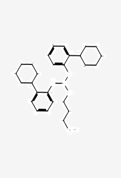 CCCCCCCCCCCCCOP(Oc1ccccc1C1CCCCC1)Oc1ccccc1C1CCCCC1